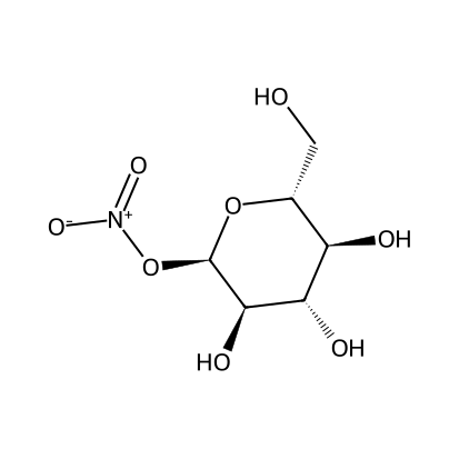 O=[N+]([O-])O[C@H]1O[C@H](CO)[C@@H](O)[C@H](O)[C@H]1O